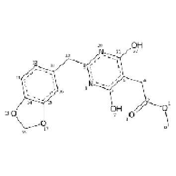 COC(=O)Cc1c(O)nc(Cc2ccc3c(c2)OCO3)nc1O